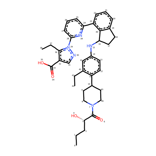 CCC[C@H](O)C(=O)N1CCC(c2ccc(NC3CCc4cccc(-c5cccc(-n6ncc(C(=O)O)c6CC)n5)c43)cc2CC)CC1